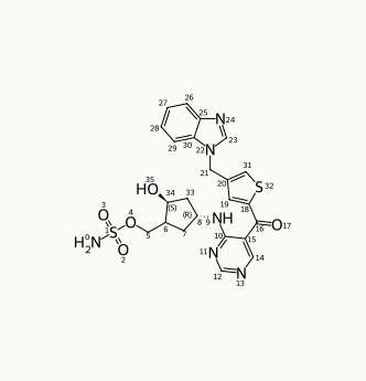 NS(=O)(=O)OCC1C[C@@H](Nc2ncncc2C(=O)c2cc(Cn3cnc4ccccc43)cs2)C[C@@H]1O